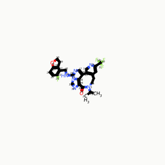 CC(C)N1CCc2cc(C(F)(F)F)ncc2-c2cnc(NCc3c(F)ccc4c3CCO4)n3cnc(c23)C1=O